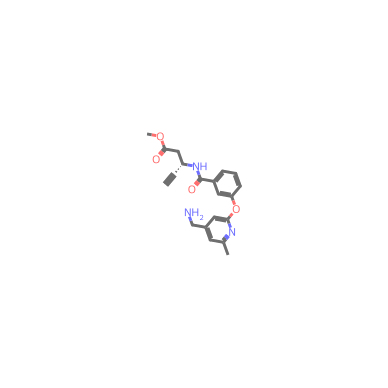 C#C[C@H](CC(=O)OC)NC(=O)c1cccc(Oc2cc(CN)cc(C)n2)c1